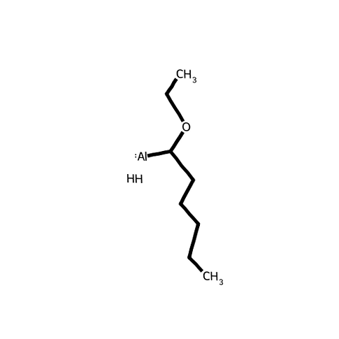 CCCCC[CH]([Al])OCC.[HH]